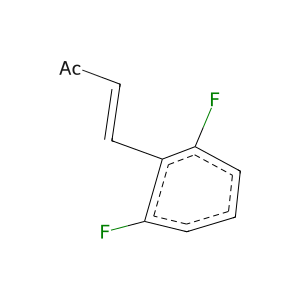 CC(=O)/C=C/c1c(F)cccc1F